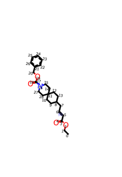 CCOC(=O)/C=C/CC1CCC2(CC1)CCN(C(=O)OCc1ccccc1)CC2